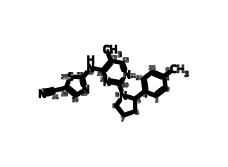 Cc1ccc(C2CCCN2c2ncc(C)c(Nc3ncc(C#N)s3)n2)cc1